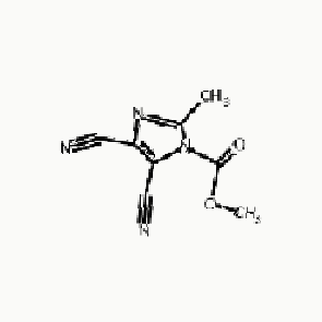 COC(=O)n1c(C)nc(C#N)c1C#N